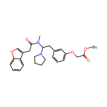 CN(C(=O)Cc1coc2ccccc12)C(Cc1cccc(OCC(=O)OC(C)(C)C)c1)N1CCCC1